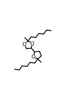 CCCCCCC1(C)CCC(C2COC(C)(CCCCCC)O2)O1